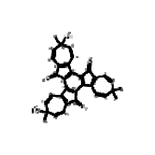 CC1(C)C=Cc2c(c3c(c2=O)c2c4c(c(=O)c2c2c5c(c(=O)c32)C=CC(C)(O)C=C5)C=CC(C)(O)C=C4)C=C1